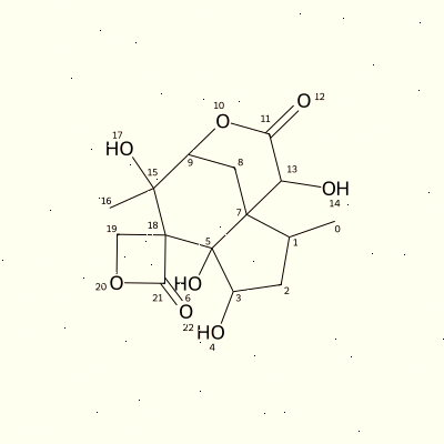 CC1CC(O)C2(O)C13CC(OC(=O)C3O)C(C)(O)C21COC1=O